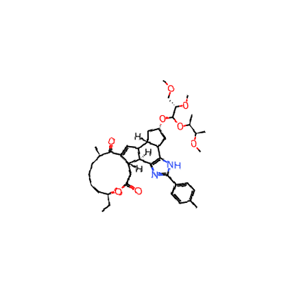 CC[C@H]1CCCC[C@@H](C)C(=O)C2=CC3[C@@H]4C[C@H](OC(OC(C)[C@@H](C)OC)[C@H](COC)OC)CC4c4[nH]c(-c5ccc(C)cc5)nc4[C@H]3[C@@H]2CC(=O)O1